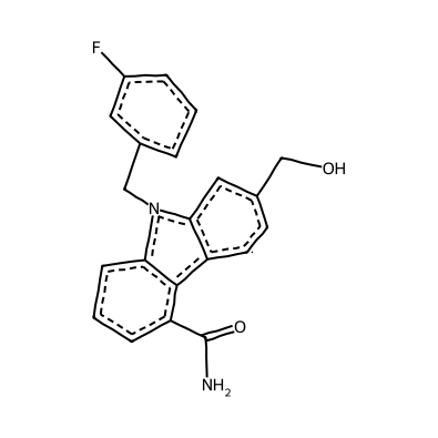 NC(=O)c1cccc2c1c1[c]cc(CO)cc1n2Cc1cccc(F)c1